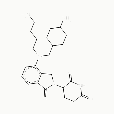 NCCCCN(CC1CCC(N)CC1)c1cccc2c1CN(C1CCC(=O)NC1=O)C2=O